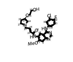 COc1cc2ncnc(Nc3ccc(F)c(Cl)c3)c2cc1NC(=O)/C=C/CN1CC[C@@H](OCCO)C1